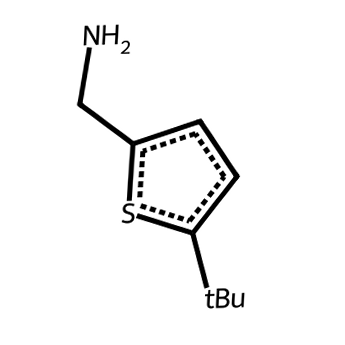 CC(C)(C)c1ccc(CN)s1